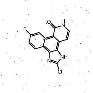 O=c1[nH]ccc2c3[nH]c(Cl)nc3c3ccc(F)cc3c12